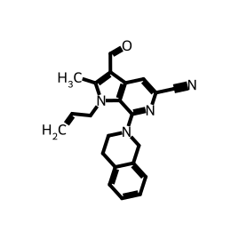 C=CCn1c(C)c(C=O)c2cc(C#N)nc(N3CCc4ccccc4C3)c21